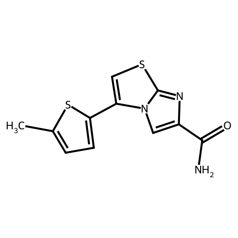 Cc1ccc(-c2csc3nc(C(N)=O)cn23)s1